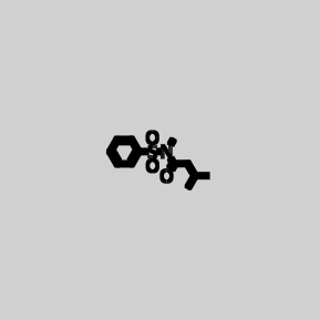 CC(C)CC(=O)N(C)S(=O)(=O)c1ccccc1